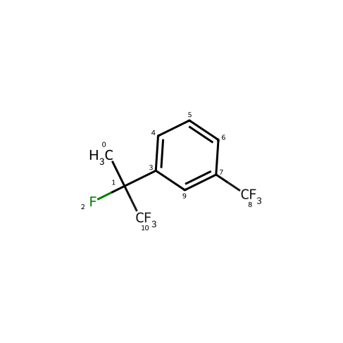 CC(F)(c1cccc(C(F)(F)F)c1)C(F)(F)F